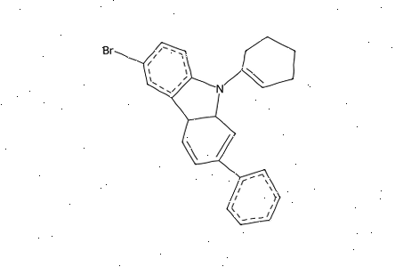 Brc1ccc2c(c1)C1C=CC(c3ccccc3)=CC1N2C1=CCCCC1